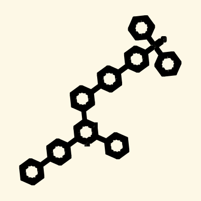 O=P(c1ccccc1)(c1ccccc1)c1ccc(-c2ccc(-c3cccc(-c4cc(-c5ccc(-c6ccccc6)cc5)nc(-c5ccccc5)n4)c3)cc2)cc1